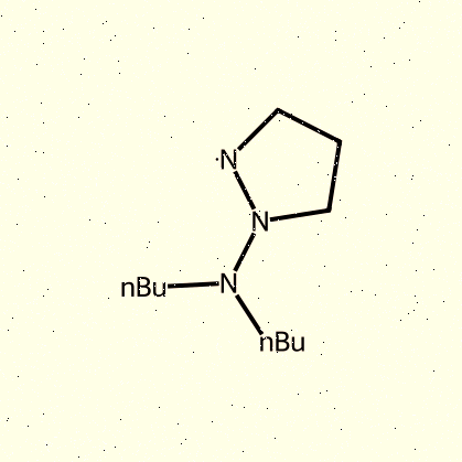 CCCCN(CCCC)N1CCC[N]1